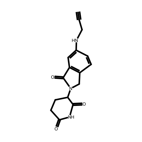 C#CCNc1ccc2c(c1)C(=O)N(C1CCC(=O)NC1=O)C2